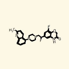 Cc1ccc2c(N3CCN(CC(F)c4cc(F)c5c(c4)NC(=O)CO5)CC3)cccc2n1